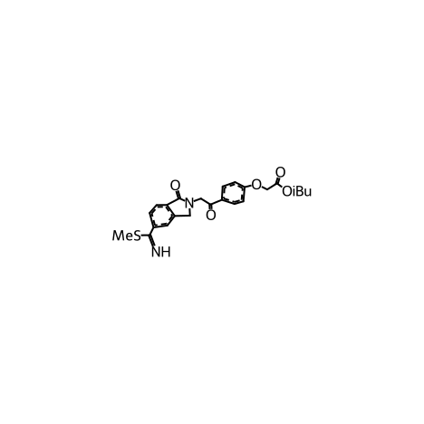 CSC(=N)c1ccc2c(c1)CN(CC(=O)c1ccc(OCC(=O)OCC(C)C)cc1)C2=O